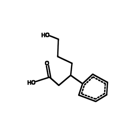 O=C(O)CC(CCCO)c1ccccc1